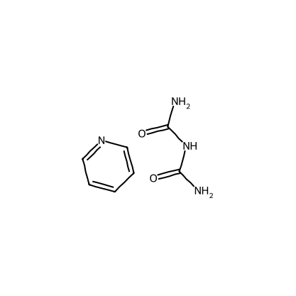 NC(=O)NC(N)=O.c1ccncc1